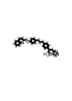 CCC(Cc1nnn[nH]1)c1ccc(CCCc2ccc(OCc3ccc4ccccc4n3)cc2)cc1